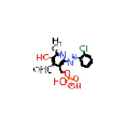 Cc1nc(/N=N/c2ccccc2Cl)c(COP(=O)(O)O)c(C=O)c1O